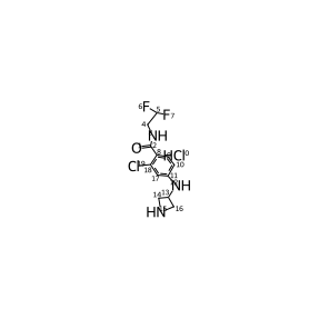 Cl.O=C(NCC(F)F)c1ccc(NC2CNC2)cc1Cl